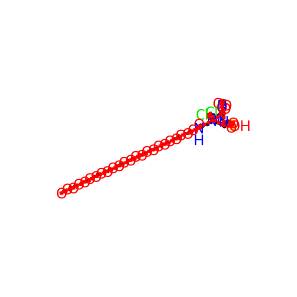 CCCCN1C(=CC=Cc2n(CCCCCC(=O)ON3C(=O)CCC3=O)c3cc(Cl)c(Cl)cc3[n+]2CCCCCC(=O)NCCOCCOCCOCCOCCOCCOCCOCCOCCOCCOCCOCCOCCOCCOCCOCCOCCOCCOCCOCCOCCOCCOCCOCCOC)C(C)(C)c2cc(S(=O)(=O)O)ccc21